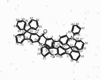 O=c1c2cc(-c3ccc4c(c3)C3(c5ccccc5-c5cc6sc7ccccc7c(=O)c6cc53)c3ccccc3N4c3ccccc3)ccc2sc2cc3c(cc12)C(c1ccccc1)(c1ccccc1)c1ccccc1-3